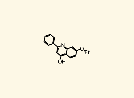 CCOc1ccc2c(O)cc(-c3ccccc3)nc2c1